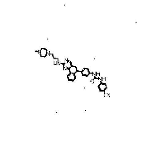 CN1CCN(CCCNc2ncc3c(n2)-c2ccccc2C(c2ccc(NC(=O)Nc4ccc(C#N)cc4)cc2)C3)CC1